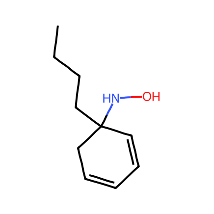 CCCCC1(NO)C=CC=CC1